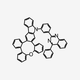 c1ccc(-c2nc(-c3cccc(-n4c5ccccc5c5cc6c(cc54)c4ccccc4oc4ccccc4c4ccccc46)c3)nc3ccccc23)cc1